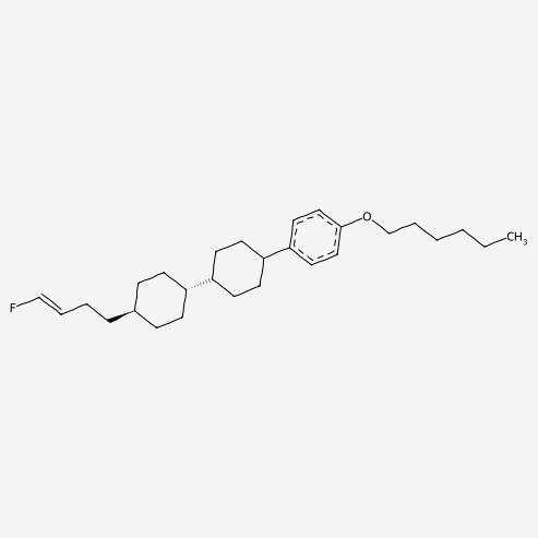 CCCCCCOc1ccc(C2CCC([C@H]3CC[C@H](CC/C=C/F)CC3)CC2)cc1